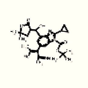 CC(=N)/C(=C(/C)O)c1cc(C(O)C2CC(C)(C)OC2=O)c2nc(C3CC3)n(C(=O)OC(C)(C)C)c2c1